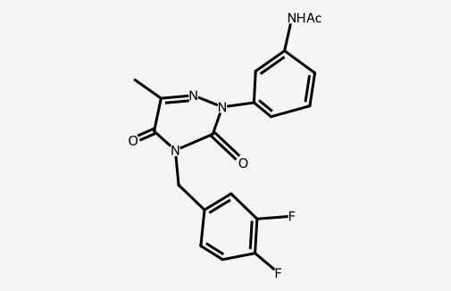 CC(=O)Nc1cccc(-n2nc(C)c(=O)n(Cc3ccc(F)c(F)c3)c2=O)c1